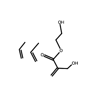 C=C(CO)C(=O)OCCO.C=CC.C=CC